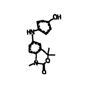 CN1C(=O)OC(C)(C)c2cc(Nc3ccc(O)cc3)ccc21